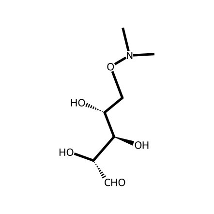 CN(C)OC[C@@H](O)[C@@H](O)[C@@H](O)C=O